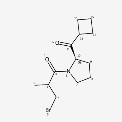 CC(CBr)C(=O)N1CCC[C@@H]1C(=O)C1CCC1